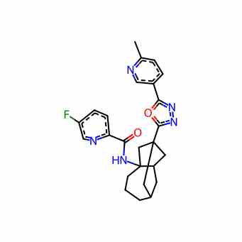 Cc1ccc(-c2nnc(C34CC5CCCC(NC(=O)c6ccc(F)cn6)(C3)C(C5)C4)o2)cn1